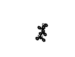 c1ccc(-c2cc(-c3ccccc3)nc(-c3cccc(-n4c5ccccc5c5cc6c7cc8c(cc7n(-c7ccccc7)c6cc54)oc4ccccc48)c3)n2)cc1